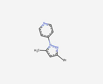 Cc1cc(C(C)C)nn1-c1ccncc1